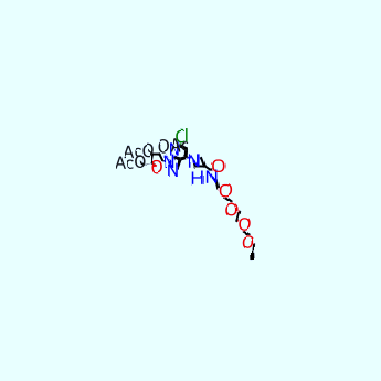 C#CCOCCOCCOCCOCCNC(=O)C1CN(c2cc(Cl)nc3c2cnn3[C@@H]2O[C@H](COC(C)=O)[C@@H](OC(C)=O)[C@H]2OC(C)=O)C1